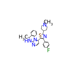 CC(Nc1nccc(-c2sc(C3CCN(C)CC3)nc2-c2ccc(F)cc2)n1)c1ccccc1